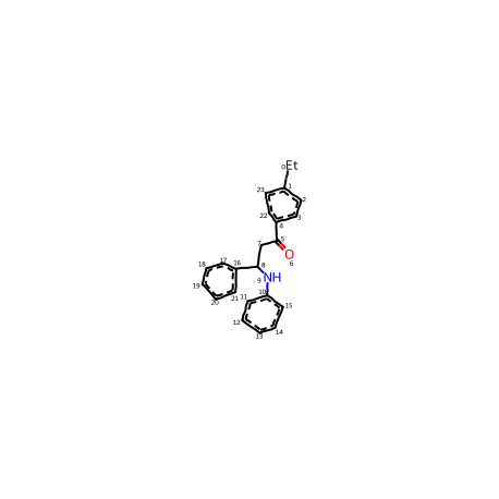 CCc1ccc(C(=O)CC(Nc2ccccc2)c2ccccc2)cc1